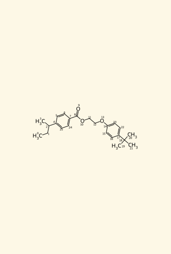 CCC(C)c1ccc(C(=O)OCCOc2ccc(C(C)(C)C)cc2)cc1